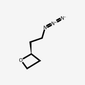 [N-]=[N+]=NCC[C@H]1CCO1